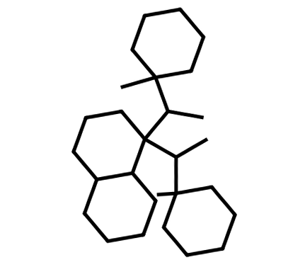 CC(C1(C)CCCCC1)C1(C(C)C2(C)CCCCC2)CCCC2CCCCC21